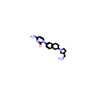 NCC1CCN(C2CCc3cc(-n4ccc(N)nc4=O)ccc3C2)C1